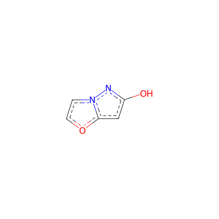 Oc1cc2occn2n1